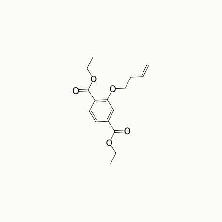 C=CCCOc1cc(C(=O)OCC)ccc1C(=O)OCC